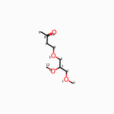 COCC(COCCC(C)=O)OC